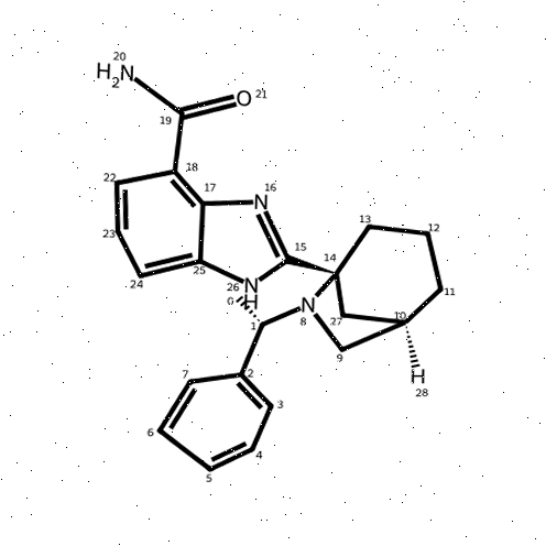 C[C@@H](c1ccccc1)N1C[C@@H]2CCC[C@]1(c1nc3c(C(N)=O)cccc3[nH]1)C2